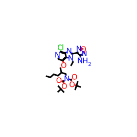 CCCCC(COc1cnc(Cl)c2nc(-c3nonc3N)n(CC)c12)CN(C(=O)OC(C)(C)C)C(=O)OC(C)(C)C